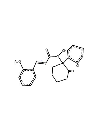 CC(=O)Oc1ccccc1/C=C/C(=O)N(C)C1(c2ccccc2Cl)CCCCC1=O